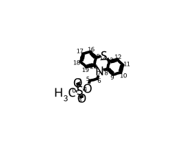 CS(=O)(=O)OCCN1c2ccccc2Sc2ccccc21